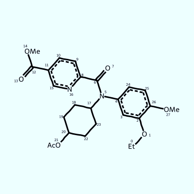 CCOc1cc(N(C(=O)c2ccc(C(=O)OC)cn2)C2CCC(OC(C)=O)CC2)ccc1OC